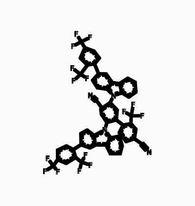 N#Cc1ccc(-c2cc(-n3c4ccccc4c4cc(-c5ccc(C(F)(F)F)cc5C(F)(F)F)ccc43)c(C#N)cc2-n2c3ccccc3c3cc(-c4ccc(C(F)(F)F)cc4C(F)(F)F)ccc32)c(C(F)(F)F)c1